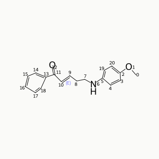 COc1ccc(NCC/C=C/C(=O)c2ccccc2)cc1